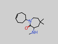 CNC1CC(C)(C)CCN(C2CCC=CCC2)C1=O